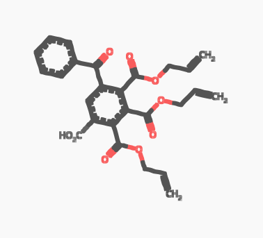 C=CCOC(=O)c1c(C(=O)O)cc(C(=O)c2ccccc2)c(C(=O)OCC=C)c1C(=O)OCC=C